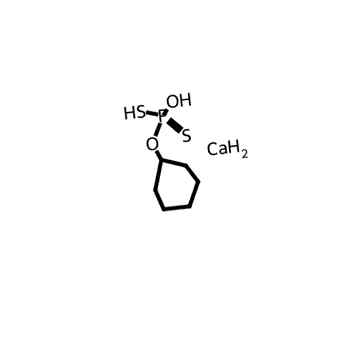 OP(=S)(S)OC1CCCCC1.[CaH2]